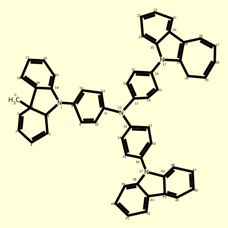 CC12C=CC=CC1N(c1ccc(N(c3ccc(-n4c5c(c6ccccc64)C=CC=CC5)cc3)c3ccc(-n4c5ccccc5c5ccccc54)cc3)cc1)c1ccccc12